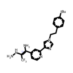 CC(C)(C)c1ccc(CCn2cnc(-c3cc(/C(N)=C(/NN)C(F)(F)F)ccn3)c2)cc1